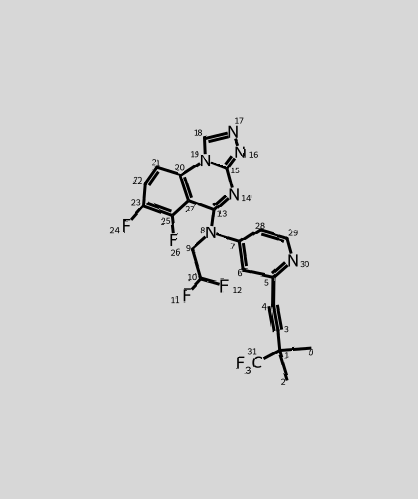 CC(C)(C#Cc1cc(N(CC(F)F)c2nc3nncn3c3ccc(F)c(F)c23)ccn1)C(F)(F)F